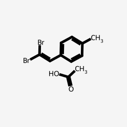 CC(=O)O.Cc1ccc(C=C(Br)Br)cc1